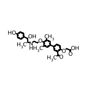 CC(=O)c1cc(-c2cc(C)c(OCCN[C@@H](C)[C@@H](O)c3ccc(O)cc3)c(C)c2)ccc1OCC(=O)O